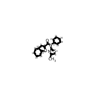 Cc1csc(N(C(=O)c2cc3ccccc3o2)c2ccccc2)n1